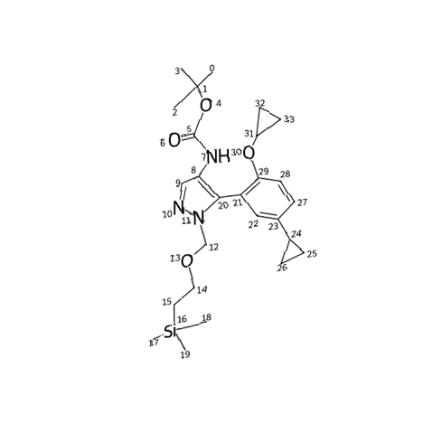 CC(C)(C)OC(=O)Nc1cnn(COCC[Si](C)(C)C)c1-c1cc(C2CC2)ccc1OC1CC1